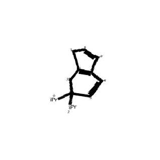 CC(C)C1(C(C)C)C=CC2=C([CH]C=C2)C1